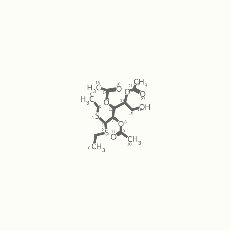 CCSC(SCC)C(OC(C)=O)C(OC(C)=O)C(CO)OC(C)=O